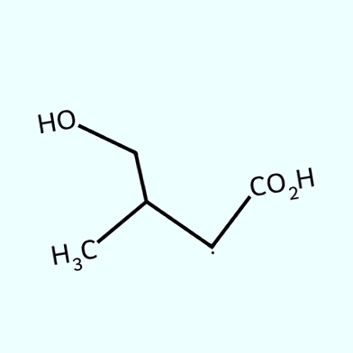 CC([CH]C(=O)O)CO